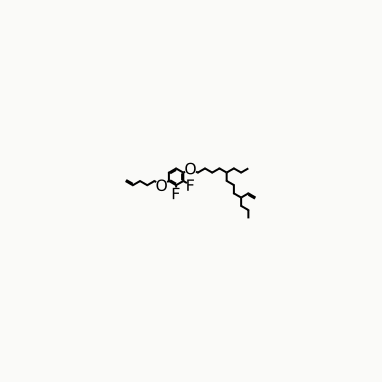 C=CCCCOc1ccc(OCCCCC(CCC)CCCC(C=C)CCC)c(F)c1F